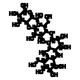 CC1O[C@@H](OC2C(CO)O[C@@H](OC3C(CO)O[C@@H](O)C(O)[C@H]3O)C(O)[C@H]2O)C(O)[C@@H](O)C1NC1C=C(CO)[C@@H](O)[C@H](O)[C@H]1O